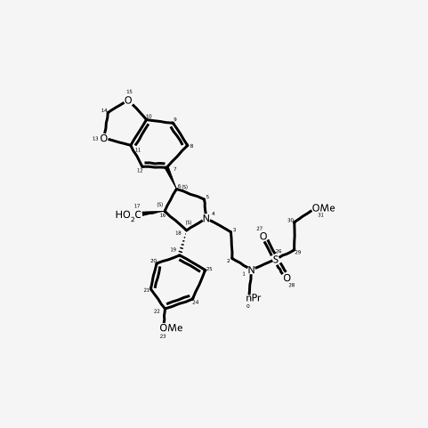 CCCN(CCN1C[C@H](c2ccc3c(c2)OCO3)[C@H](C(=O)O)[C@H]1c1ccc(OC)cc1)S(=O)(=O)CCOC